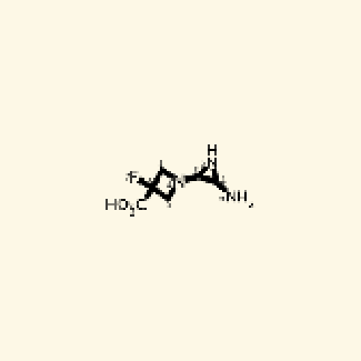 NC1NC1N1CC(F)(C(=O)O)C1